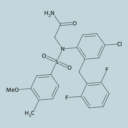 COc1cc(S(=O)(=O)N(CC(N)=O)c2ccc(Cl)cc2Cc2c(F)cccc2F)ccc1C